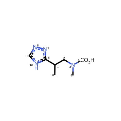 CC(CN(C)C(=O)O)c1nnc[nH]1